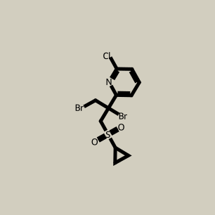 O=S(=O)(CC(Br)(CBr)c1cccc(Cl)n1)C1CC1